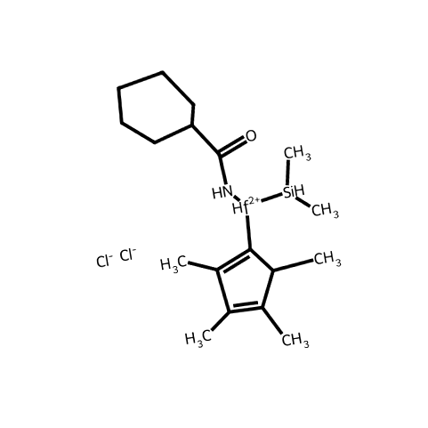 CC1=C(C)C(C)[C]([Hf+2]([NH]C(=O)C2CCCCC2)[SiH](C)C)=C1C.[Cl-].[Cl-]